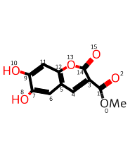 COC(=O)c1cc2cc(O)c(O)cc2oc1=O